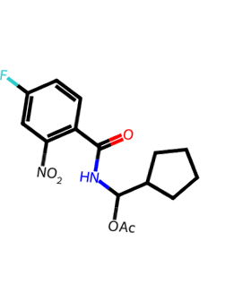 CC(=O)OC(NC(=O)c1ccc(F)cc1[N+](=O)[O-])C1CCCC1